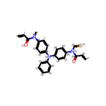 C=CC(=O)N(C)c1ccc(N(c2ccccc2)c2ccc(N(C=S)C(=O)C=C)cc2)cc1